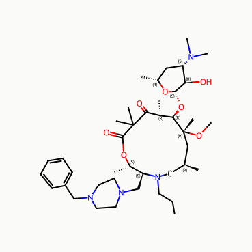 CCCN1C[C@H](C)C[C@@](C)(OC)[C@H](O[C@@H]2O[C@H](C)C[C@H](N(C)C)[C@H]2O)[C@@H](C)C(=O)C(C)(C)C(=O)O[C@@H](C)[C@@H]1CN1CCN(Cc2ccccc2)CC1